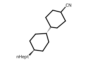 CCCCCCC[C@H]1CC[C@H](C2CCC(C#N)CC2)CC1